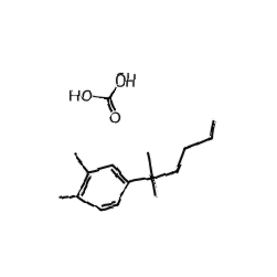 CCCCC(C)(C)c1ccc(C)c(C)c1.O=C(O)O